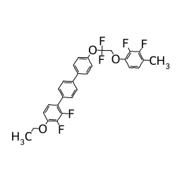 CCOc1ccc(-c2ccc(-c3ccc(OC(F)(F)COc4ccc(C)c(F)c4F)cc3)cc2)c(F)c1F